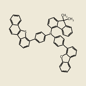 CC1(C)c2ccccc2-c2c(N(c3ccc(-c4cccc5c4oc4ccccc45)cc3)c3ccc(-c4cccc5c4sc4c6ccccc6ccc54)cc3)cccc21